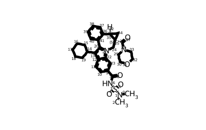 CN(C)S(=O)(=O)NC(=O)c1ccc2c(C3CCCCC3)c3n(c2c1)C[C@]1(C(=O)N2CCOCC2)C[C@@H]1c1ccccc1-3